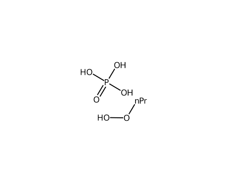 CCCOO.O=P(O)(O)O